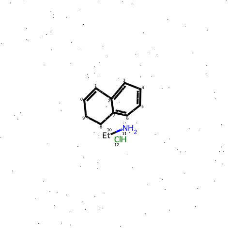 C1=Cc2ccccc2CC1.CCN.Cl